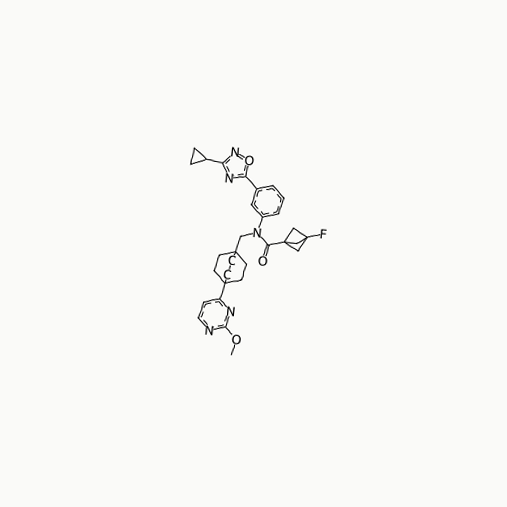 COc1nccc(C23CCC(CN(C(=O)C45CC(F)(C4)C5)c4cccc(-c5nc(C6CC6)no5)c4)(CC2)CC3)n1